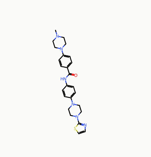 CN1CCN(c2ccc(C(=O)Nc3ccc(N4CCN(c5nccs5)CC4)cc3)cc2)CC1